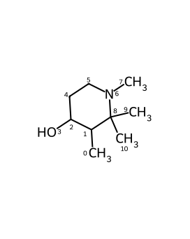 CC1C(O)CCN(C)C1(C)C